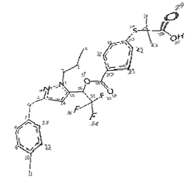 CCCn1nc(Cc2ccc(C)cc2)cc1C(OC(=O)c1ccc(SC(C)(C)C(=O)O)cc1)C(F)(F)F